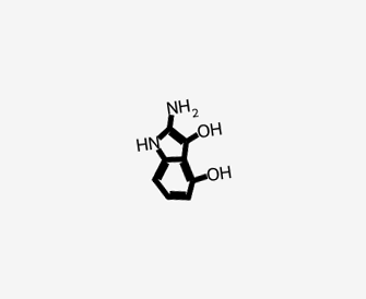 Nc1[nH]c2cccc(O)c2c1O